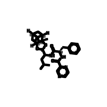 CC(C)CC(NC(=O)[C@H](Cc1ccccc1)NC(=O)c1cnccn1)B1O[C@@H]2C[C@@H]3C[C@@H](C3(C)C)[C@]2(C)O1